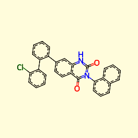 O=c1[nH]c2cc(-c3ccccc3-c3ccccc3Cl)ccc2c(=O)n1-c1cccc2ccccc12